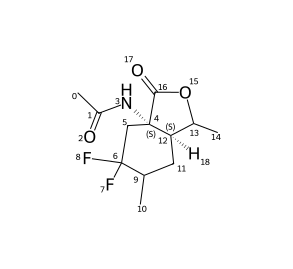 CC(=O)N[C@@]12CC(F)(F)C(C)C[C@@H]1C(C)OC2=O